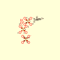 O.O=S(=O)([O-])[O-].O=S(=O)([O-])[O-].O=S(=O)([O-])[O-].[Tm+3].[Tm+3]